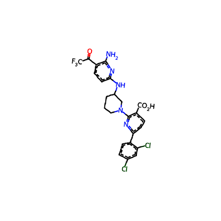 Nc1nc(NC2CCCN(c3nc(-c4ccc(Cl)cc4Cl)ccc3C(=O)O)C2)ccc1C(=O)C(F)(F)F